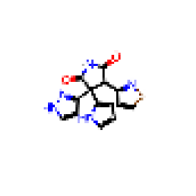 O=C1[N]C(=O)C(c2cc[nH]n2)(c2ccc[nH]2)C1c1ccsn1